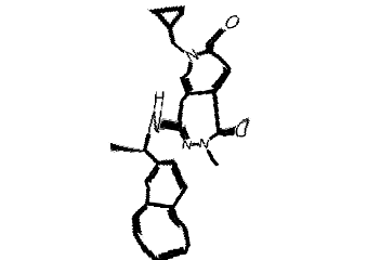 C[C@@H](Nc1nn(C)c(=O)c2cc(=O)n(C3CC3)cc12)c1ccc2ccccc2c1